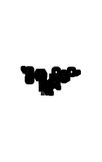 CCOC(=O)C1CCCN(c2nnc(C)c3c(C)n(-c4ccc(OCC)cc4OC)c(C)c23)C1